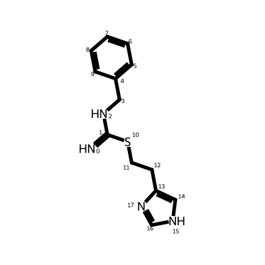 N=C(NCc1ccccc1)SCCc1c[nH]cn1